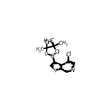 CC1(C)OB(c2csc3cncc(Cl)c23)OC1(C)C